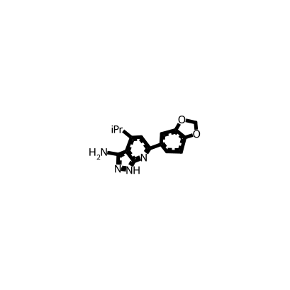 CC(C)c1cc(-c2ccc3c(c2)OCO3)nc2[nH]nc(N)c12